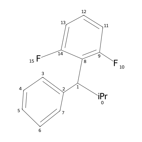 CC(C)C(c1ccccc1)c1c(F)cccc1F